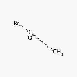 CCCCCCCCCCCC(=O)OCCCCCBr